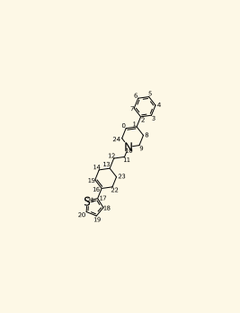 C1=C(c2ccccc2)CCN(CCC2CC=C(c3cccs3)CC2)C1